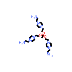 CC(OCCN1CCN(CCN)CC1)(OCCN1CCN(CCN)CC1)OCCN1CCN(CCN)CC1